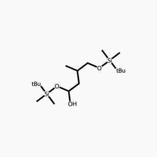 CC(CO[Si](C)(C)C(C)(C)C)CC(O)O[Si](C)(C)C(C)(C)C